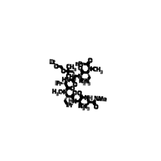 CCCC(=O)N(C)[C@H](CN)C(=O)N(C)[C@@H](CC(C)(C)OCOCC)C(=O)N[C@H](C(=O)N(C)[C@@H](CC(C)C)C(=O)N[C@H](C)C(=O)N[C@H](C)C(=O)NC)C(C)C